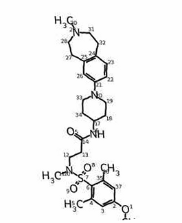 COc1cc(C)c(S(=O)(=O)N(C)CCC(=O)NC2CCN(c3ccc4c(c3)CCN(C)CC4)CC2)c(C)c1